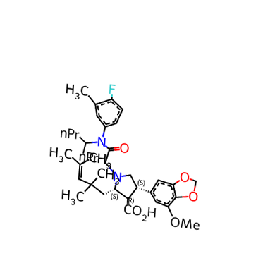 CCCC(CCC)N(C(=O)CN1C[C@H](c2cc(OC)c3c(c2)OCO3)[C@@H](C(=O)O)[C@@H]1CC(C)(C)C=C(C)C)c1ccc(F)c(C)c1